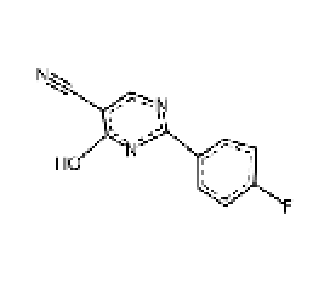 N#Cc1cnc(-c2ccc(F)cc2)nc1O